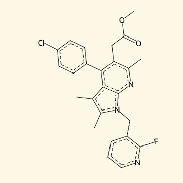 COC(=O)Cc1c(C)nc2c(c(C)c(C)n2Cc2cccnc2F)c1-c1ccc(Cl)cc1